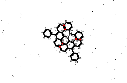 c1ccc(-c2c3ccccc3c(B(c3c4ccccc4c(-c4ccccc4)c4ccccc34)N(c3ccccc3)c3ccccc3)c3ccccc23)cc1